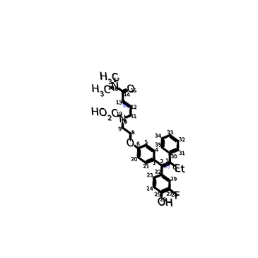 CC/C(=C(/c1ccc(OCCN(C/C=C/C(=O)N(C)C)C(=O)O)cc1)c1ccc(O)c(F)c1)c1ccccc1